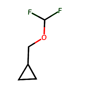 FC(F)OCC1CC1